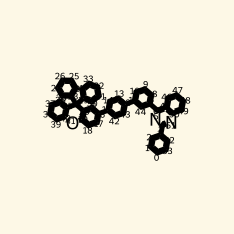 c1ccc(-c2nc(-c3cccc(-c4ccc(-c5ccc6c(c5)C(c5ccccc5)(c5ccccc5)c5ccccc5O6)cc4)c3)c3ccccc3n2)cc1